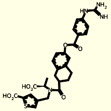 C[C@H](C(=O)O)N(Cc1csc(C(=O)O)c1)C(=O)C1CCc2cc(OC(=O)c3ccc(NC(=N)N)cc3)ccc2C1